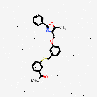 COC(=O)c1cccc(SCc2cccc(OCc3nc(-c4ccccc4)oc3C)c2)c1